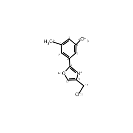 Cc1cc(C)cc(-c2nc(CCl)co2)c1